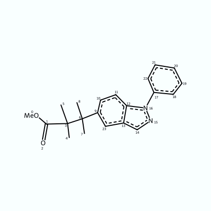 COC(=O)C(C)(C)C(C)(C)c1ccc2c(cnn2-c2ccccc2)c1